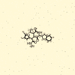 Cc1cc(C(C(=O)NC(C)C)N2C(=O)C(C3Cc4ccccc4C3)NC(=O)C2CC(C)C)oc1C